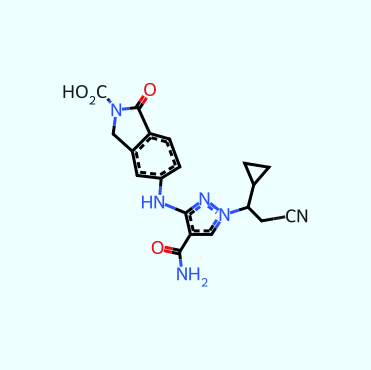 N#CCC(C1CC1)n1cc(C(N)=O)c(Nc2ccc3c(c2)CN(C(=O)O)C3=O)n1